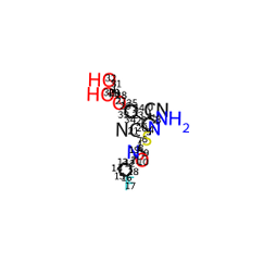 N#Cc1c(N)nc(SCc2coc(-c3cccc(F)c3)n2)c(C#N)c1-c1ccc(OC[C@@H](O)CO)cc1